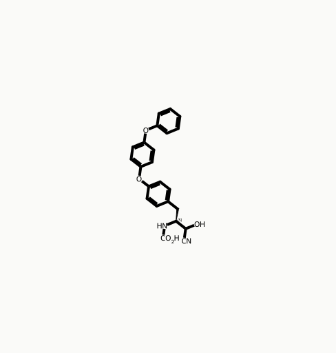 N#CC(O)[C@H](Cc1ccc(Oc2ccc(Oc3ccccc3)cc2)cc1)NC(=O)O